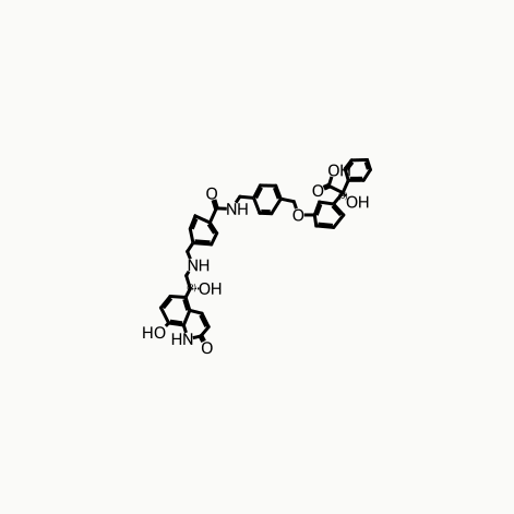 O=C(NCc1ccc(COc2cccc([C@](O)(C(=O)O)c3ccccc3)c2)cc1)c1ccc(CNC[C@H](O)c2ccc(O)c3[nH]c(=O)ccc23)cc1